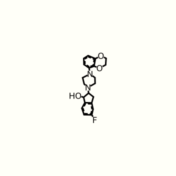 OC1c2ccc(F)cc2CC1N1CCN(c2cccc3c2OCCO3)CC1